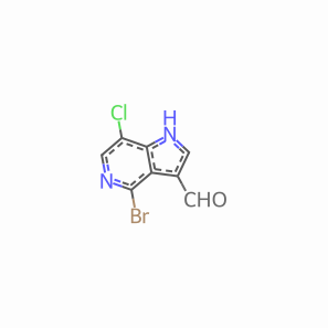 O=Cc1c[nH]c2c(Cl)cnc(Br)c12